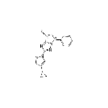 F[C@H]1C[C@@H](c2ccccc2)n2nc(-n3cc(C4CC4)cn3)nc21